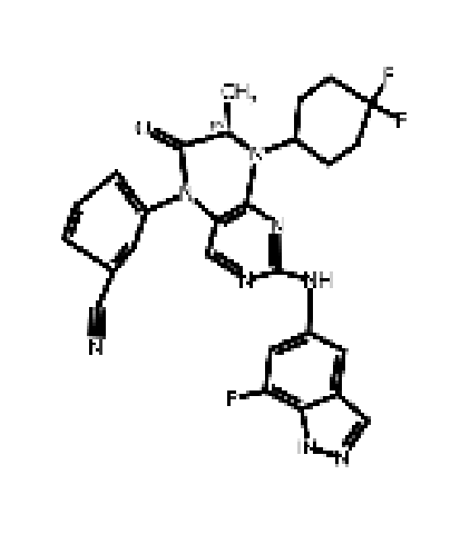 C[C@@H]1C(=O)N(c2cccc(C#N)c2)c2cnc(Nc3cc(F)c4[nH]ncc4c3)nc2N1C1CCC(F)(F)CC1